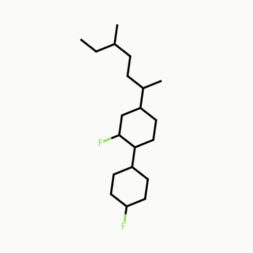 CCC(C)CCC(C)C1CCC(C2CCC(F)CC2)C(F)C1